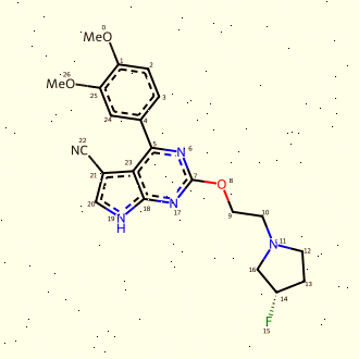 COc1ccc(-c2nc(OCCN3CC[C@H](F)C3)nc3[nH]cc(C#N)c23)cc1OC